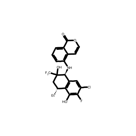 CC[C@@H]1CC(O)(C(F)(F)F)[C@@H](Nc2cccc3c(=O)occc23)c2cc(Cl)c(F)c(O)c21